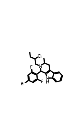 CCC(Cl)CN1C(C)Cc2c([nH]c3ccccc23)C1c1c(F)cc(Br)cc1F